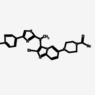 CCc1nc2ccc(N3CCN(C(=O)C(C)=O)CC3)cn2c1N(C)c1nc(-c2ccc(F)cc2)cs1